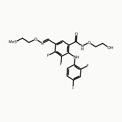 CSCCO/N=C/c1cc(C(=O)NOCCO)c(Nc2ccc(I)cc2F)c(F)c1F